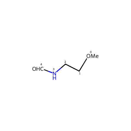 COCCNC=O